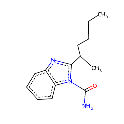 CCCCC(C)c1nc2ccccc2n1C(N)=O